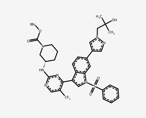 CC(C)(O)Cn1cc(-c2ccc3c(-c4nc(N[C@H]5CCCN(C(=O)OC(C)(C)C)C5)ncc4C(F)(F)F)cn(S(=O)(=O)c4ccccc4)c3c2)cn1